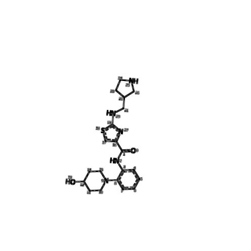 O=C(Nc1ccccc1N1CCC(O)CC1)c1csc(NCC2CCNC2)n1